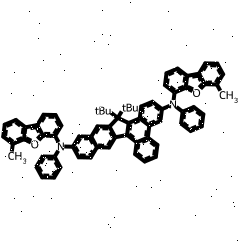 Cc1cccc2c1oc1c(N(c3ccccc3)c3ccc4cc5c(cc4c3)C(C(C)(C)C)(C(C)(C)C)c3c-5c4ccccc4c4cc(N(c5ccccc5)c5cccc6c5oc5c(C)cccc56)ccc34)cccc12